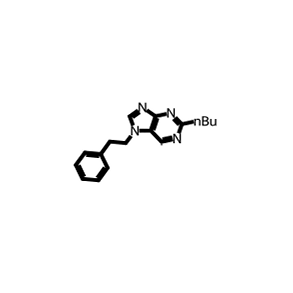 CCCCc1n[c]c2c(ncn2CCc2ccccc2)n1